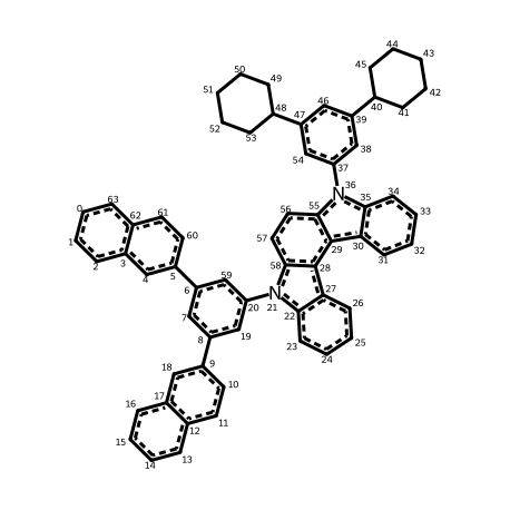 c1ccc2cc(-c3cc(-c4ccc5ccccc5c4)cc(-n4c5ccccc5c5c6c7ccccc7n(-c7cc(C8CCCCC8)cc(C8CCCCC8)c7)c6ccc54)c3)ccc2c1